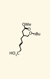 CCCCOCC(C/C=C/CC(=O)O)CC(=O)OC